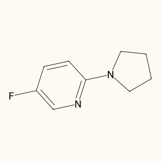 Fc1ccc(N2CCCC2)nc1